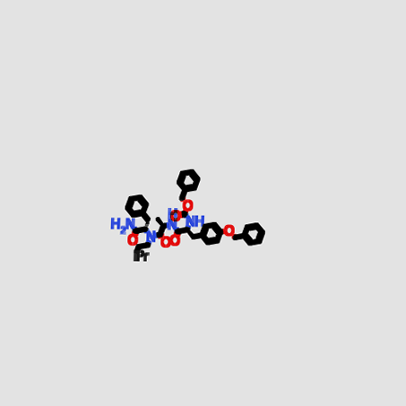 CC(C)CCN(C(=O)[C@@H](C)NC(=O)[C@H](Cc1ccc(OCc2ccccc2)cc1)NC(=O)OCc1ccccc1)[C@@H](Cc1ccccc1)C(N)=O